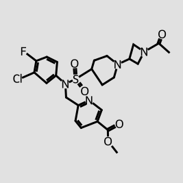 COC(=O)c1ccc(CN(c2ccc(F)c(Cl)c2)S(=O)(=O)C2CCN(C3CN(C(C)=O)C3)CC2)nc1